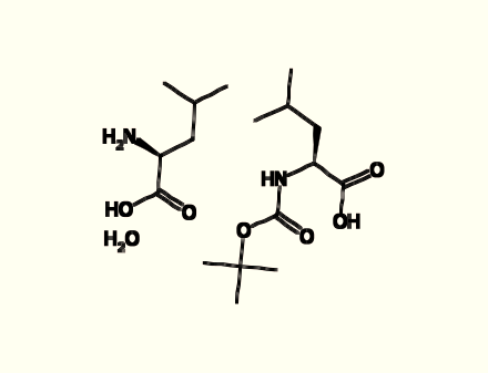 CC(C)C[C@H](N)C(=O)O.CC(C)C[C@H](NC(=O)OC(C)(C)C)C(=O)O.O